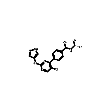 CC[C@@H](C#N)NC(O)c1ccc(-c2nc(Nc3cn[nH]c3)ncc2Cl)cc1